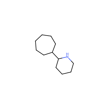 C1CCCC(C2CCCCN2)CC1